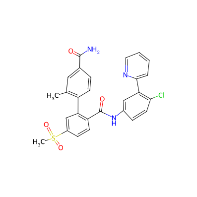 Cc1cc(C(N)=O)ccc1-c1cc(S(C)(=O)=O)ccc1C(=O)Nc1ccc(Cl)c(-c2ccccn2)c1